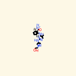 Cc1cnc(Nc2cnn(CCO)c2)nc1N[C@@H]1[C@H](C(N)=O)[C@H]2C=C[C@@H]1C2